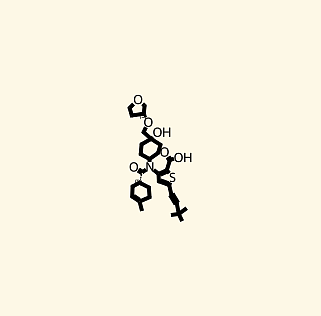 CC1=CC[C@H](C(=O)N(c2cc(C#CC(C)(C)C)sc2C(=O)O)C2CCC(O)(CO[C@H]3CCOC3)CC2)CC1